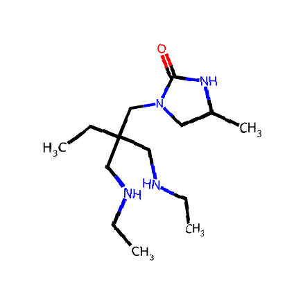 CCNCC(CC)(CNCC)CN1CC(C)NC1=O